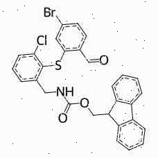 O=Cc1ccc(Br)cc1Sc1c(Cl)cccc1CNC(=O)OCC1c2ccccc2-c2ccccc21